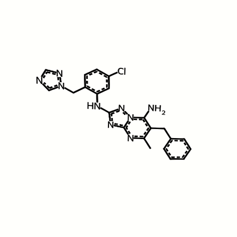 Cc1nc2nc(Nc3cc(Cl)ccc3Cn3cncn3)nn2c(N)c1Cc1ccccc1